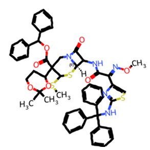 CON=C(C(=O)NC1C(=O)N2CC(C(=O)OC(c3ccccc3)c3ccccc3)(C3CCOC(C)(C)O3)C(SC)S[C@H]12)c1csc(NC(c2ccccc2)(c2ccccc2)c2ccccc2)n1